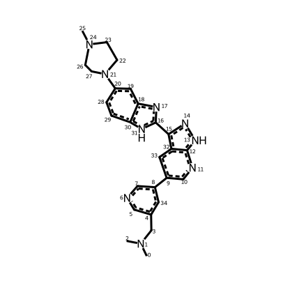 CN(C)Cc1cncc(-c2cnc3[nH]nc(-c4nc5cc(N6CCN(C)CC6)ccc5[nH]4)c3c2)c1